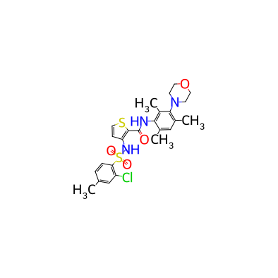 Cc1ccc(S(=O)(=O)Nc2ccsc2C(=O)Nc2c(C)cc(C)c(N3CCOCC3)c2C)c(Cl)c1